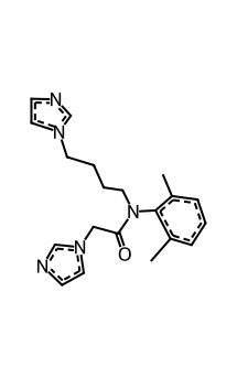 Cc1cccc(C)c1N(CCCCn1ccnc1)C(=O)Cn1ccnc1